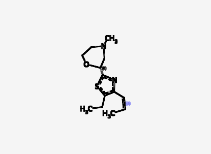 C/C=C\c1nc([C@H]2CN(C)CCO2)sc1CC